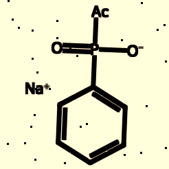 CC(=O)P(=O)([O-])c1ccccc1.[Na+]